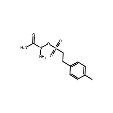 Cc1ccc(CCS(=O)(=O)ON(N)C(N)=O)cc1